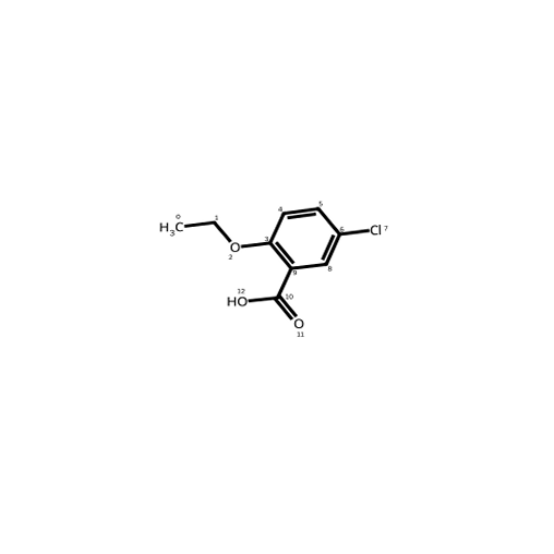 CCOc1ccc(Cl)cc1C(=O)O